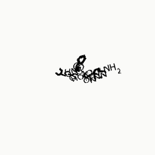 CCC(CC)COC(=O)C(C)N[P@@](=O)(OC[C@H]1O[C@@](C#N)(c2ccc3c(N)ncnn23)[C@H](O)[C@@H]1O)Oc1ccccc1